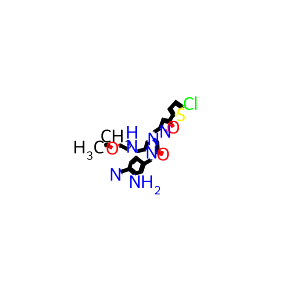 CC(C)OCCNCC1CN(Cc2cc(-c3ccc(Cl)s3)on2)CC(=O)N1Cc1ccc(C#N)c(N)c1